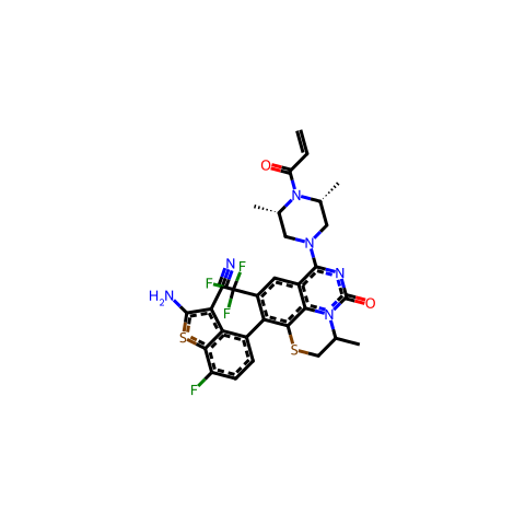 C=CC(=O)N1[C@H](C)CN(c2nc(=O)n3c4c(c(-c5ccc(F)c6sc(N)c(C#N)c56)c(C(F)(F)F)cc24)SCC3C)C[C@@H]1C